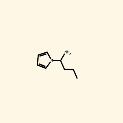 CCCC(N)n1cccc1